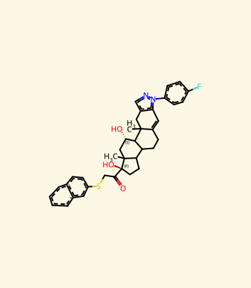 CC12Cc3cnn(-c4ccc(F)cc4)c3C=C1CCC1C2[C@@H](O)CC2(C)C1CC[C@]2(O)C(=O)CSc1ccc2ccccc2c1